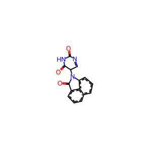 O=C1N=CC(N2C(=O)c3cccc4cccc2c34)C(=O)N1